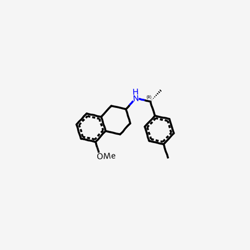 COc1cccc2c1CCC(N[C@H](C)c1ccc(C)cc1)C2